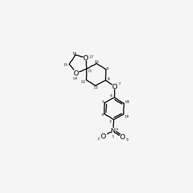 O=[N+]([O-])c1ccc(OC2CCC3(CC2)OCCO3)cc1